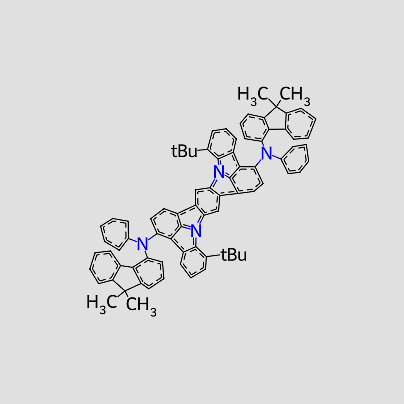 CC(C)(C)c1cccc2c3c(N(c4ccccc4)c4cccc5c4-c4ccccc4C5(C)C)ccc4c5cc6c(cc5n(c12)c43)c1ccc(N(c2ccccc2)c2cccc3c2-c2ccccc2C3(C)C)c2c3cccc(C(C)(C)C)c3n6c12